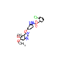 COc1cc2ncnc(Oc3ccc(NC(=O)OCc4ccccc4Cl)cc3)c2cc1OC